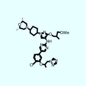 COCC(C)COc1nn(C2CCC(N3C[C@@H](C)O[C@@H](C)C3)CC2)cc1Nc1ncc(-c2ccc(Cl)c(OC(C)Cn3cncn3)c2)cn1